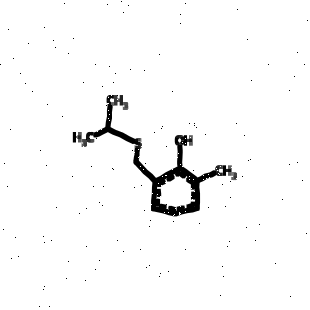 Cc1cccc(CSC(C)C)c1O